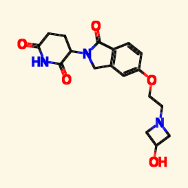 O=C1CCC(N2Cc3cc(OCCN4CC(O)C4)ccc3C2=O)C(=O)N1